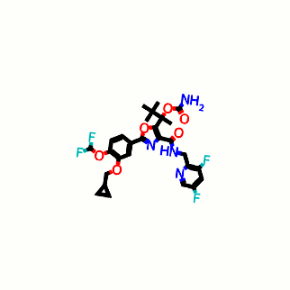 CC(C)(C)C(C)(OC(N)=O)c1oc(-c2ccc(OC(F)F)c(OCC3CC3)c2)nc1C(=O)NCc1ncc(F)cc1F